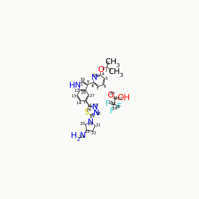 CC(C)Oc1cccc(-c2c[nH]c3ccc(-c4nnc(N5CCC(N)C5)s4)cc23)n1.O=C(O)C(F)(F)F